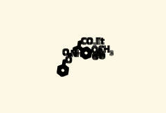 CCOC(=O)CC(CNC(=O)OCc1ccccc1)c1cccc(OS(C)(=O)=O)c1